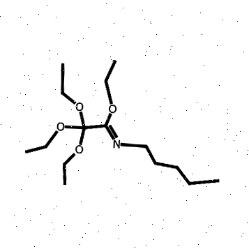 CCCCCN=C(OCC)C(OCC)(OCC)OCC